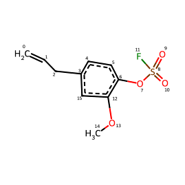 C=CCc1ccc(OS(=O)(=O)F)c(OC)c1